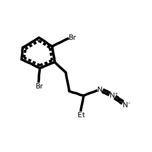 CCC(CCc1c(Br)cccc1Br)N=[N+]=[N-]